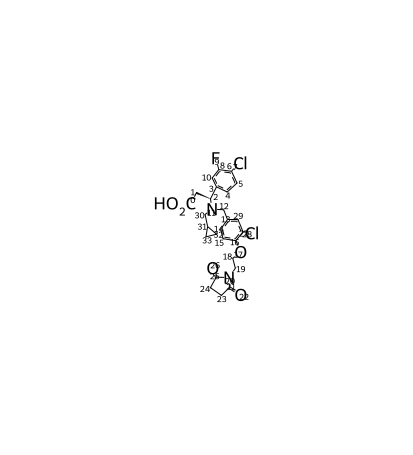 O=C(O)C[C@@H](c1ccc(Cl)c(F)c1)N(Cc1ccc(OCCN2C(=O)CCC2=O)c(Cl)c1)CC1CC1